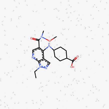 CCn1ncc2c(NC3CCC(C(=O)O)CC3)c(C(=O)N(C)OC)cnc21